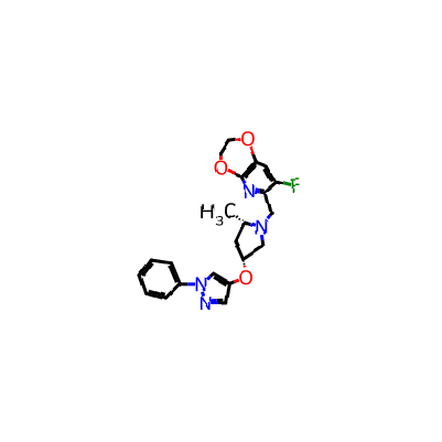 C[C@H]1C[C@@H](Oc2cnn(-c3ccccc3)c2)CN1Cc1nc2c(cc1F)OCCO2